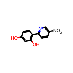 O=[N+]([O-])c1ccc(-c2ccc(O)cc2O)nc1